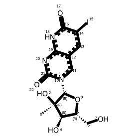 C[C@@]1(O)[C@H](O)[C@@H](CO)O[C@H]1n1cc2cc(I)c(=O)[nH]c2nc1=O